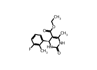 CCOC(=O)C1=C(C)NC(=O)N[C@H]1c1cccc(F)c1C